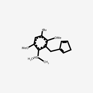 COc1cc(C(C)(C)C)c(OC)c(CC2=CCC=C2)c1[SiH](C)C